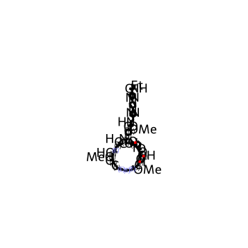 CCNC(=O)c1cnc(N2CCN(c3ncc(CNC(=O)O[C@@H]4CC[C@@H](C[C@@H](N)[C@@H]5CC(=O)[C@H](C)/C=C(\C)[C@@H](O)[C@@H](OC)C(=O)[C@H](C)C[C@H](C)/C=C/C=C/C=C(\C)[C@@H](OC)C[C@@H]6CC[C@@H](C)[C@@](O)(O6)C(=O)C(=O)N6CCCC[C@H]6C(=O)O5)C[C@H]4OC)cn3)CC2)nc1